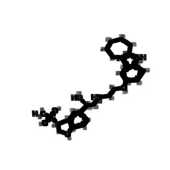 CS(=O)(=O)N1COc2ccc([C@@H](O)CNCCOc3ccc4[nH]c5c(c4c3)CCCCC5)cc21